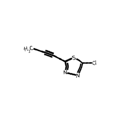 [CH2]C#Cc1nnc(Cl)s1